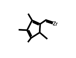 CC1=C(C)C(C)C([CH]=[Zr])=C1C